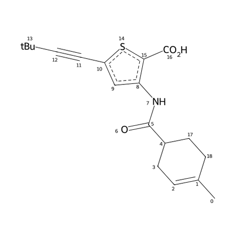 CC1=CCC(C(=O)Nc2cc(C#CC(C)(C)C)sc2C(=O)O)CC1